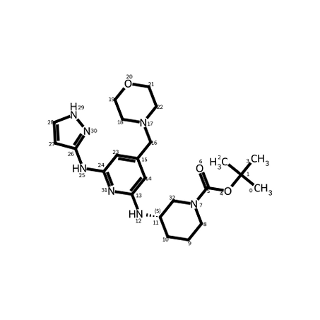 CC(C)(C)OC(=O)N1CCC[C@H](Nc2cc(CN3CCOCC3)cc(Nc3cc[nH]n3)n2)C1